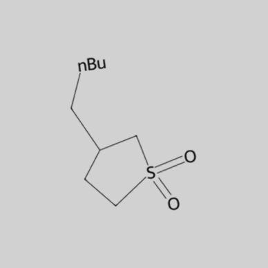 CCCCCC1CCS(=O)(=O)C1